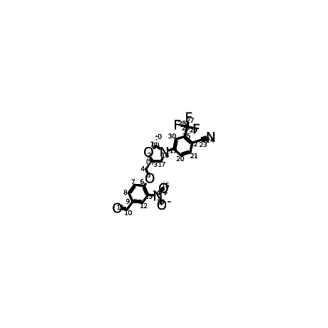 C[C@H]1O[C@H](COc2ccc(C=O)cc2[N+](=O)[O-])CN1c1ccc(C#N)c(C(F)(F)F)c1